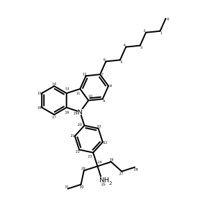 CCCCCCCc1ccc2c(c1)c1ccccc1n2-c1ccc(C(N)(CCC)CCC)cc1